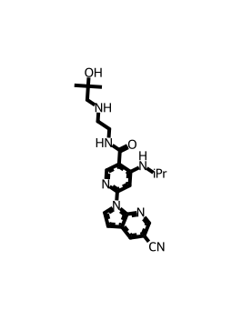 CC(C)Nc1cc(-n2ccc3cc(C#N)cnc32)ncc1C(=O)NCCNCC(C)(C)O